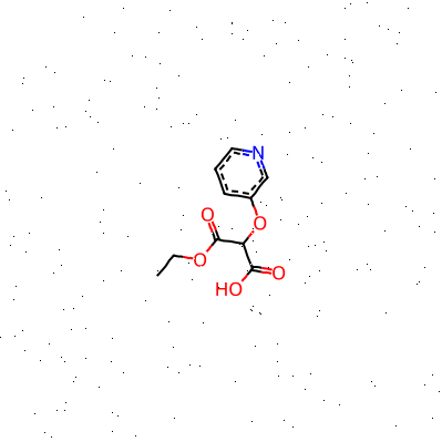 CCOC(=O)C(Oc1cccnc1)C(=O)O